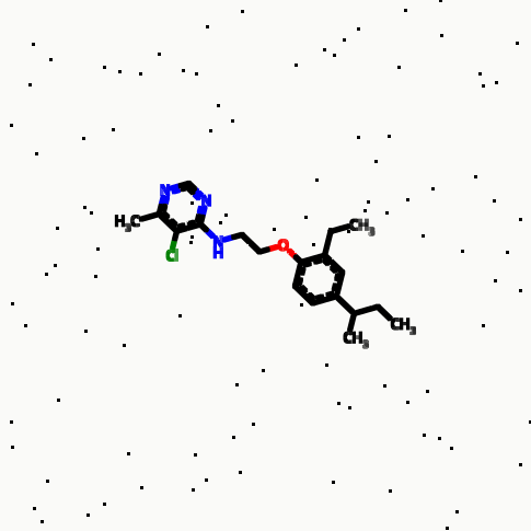 CCc1cc(C(C)CC)ccc1OCCNc1ncnc(C)c1Cl